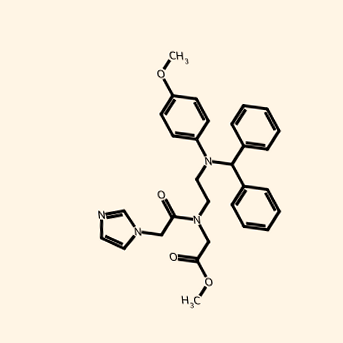 COC(=O)CN(CCN(c1ccc(OC)cc1)C(c1ccccc1)c1ccccc1)C(=O)Cn1ccnc1